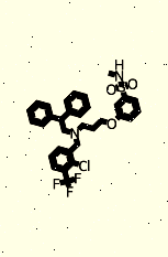 CNS(=O)(=O)c1cccc(OCCCN(Cc2cccc(C(F)(F)F)c2Cl)CC(c2ccccc2)c2ccccc2)c1